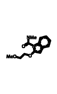 CNC(=O)n1c(OCCOC)cc2ccccc21